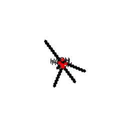 CCCCCCCCCCCCCCCCC(O)[C@@H](O)[C@](O)(CCCCCCCCCCCCCCCC)[C@@](O)(CCCCCCCCCCCCCCCC)[C@](O)(CCCCCCCCCCCCCCCC)C(=O)C(=O)CCC